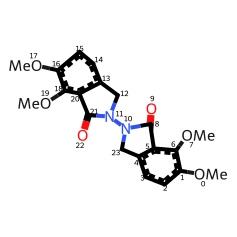 COc1ccc2c(c1OC)C(=O)N(N1Cc3ccc(OC)c(OC)c3C1=O)C2